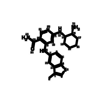 Cc1csc2ccc(Nc3nc(N[C@@H]4CCCC[C@@H]4N)nnc3C(N)=O)cc12